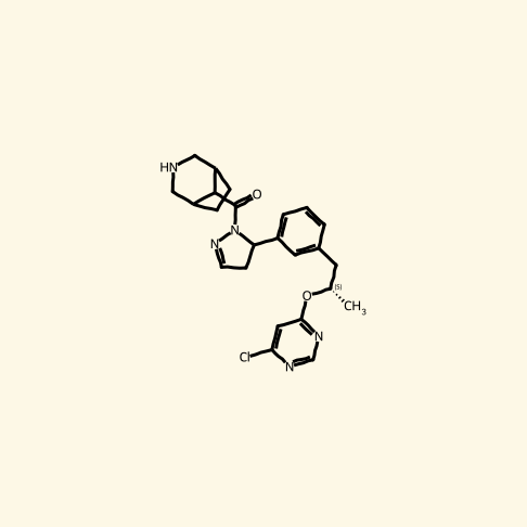 C[C@@H](Cc1cccc(C2CC=NN2C(=O)C2C3CCC2CNC3)c1)Oc1cc(Cl)ncn1